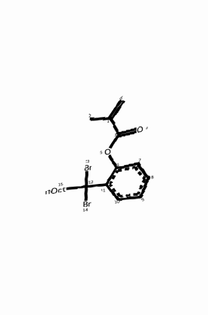 C=C(C)C(=O)Oc1ccccc1C(Br)(Br)CCCCCCCC